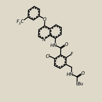 CC(C)(C)C(=O)NCc1ccc(Cl)c(C(=O)Nc2cccc3c(Oc4cccc(C(F)(F)F)c4)ccnc23)c1F